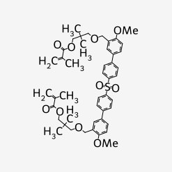 C=C(C)C(=O)OCC(C)(C)COCc1cc(-c2ccc(S(=O)(=O)c3ccc(-c4ccc(OC)c(COCC(C)(C)COC(=O)C(=C)C)c4)cc3)cc2)ccc1OC